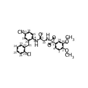 COc1ccc(S(=O)(=O)NCC(=O)Nc2ccc(Cl)cc2Cc2ccccc2Cl)cc1OC